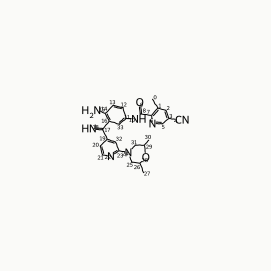 Cc1cc(C#N)cnc1C(=O)Nc1ccc(N)c(C(=N)c2ccnc(N3CC(C)OC(C)C3)c2)c1